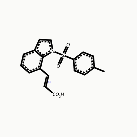 Cc1ccc(S(=O)(=O)n2ccc3cccc(/C=C/C(=O)O)c32)cc1